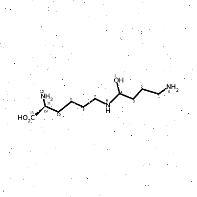 NCCCC(O)NCCCC[C@H](N)C(=O)O